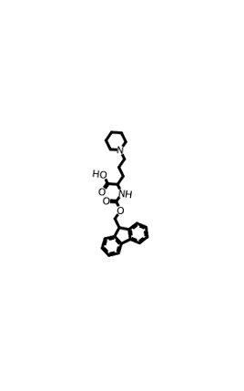 O=C(NC(CCCN1CCCCC1)C(=O)O)OCC1c2ccccc2-c2ccccc21